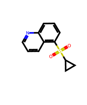 O=S(=O)(c1cccc2ncccc12)C1CC1